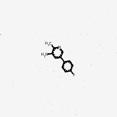 Cc1ncc(-c2ccc(F)cc2)cc1N